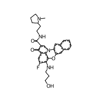 CN1CCCC1CCNC(=O)c1cn2c3c(c(NCCCO)c(F)cc3c1=O)Oc1cc3ccccc3cc1-2